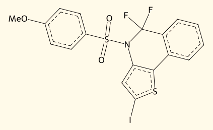 COc1ccc(S(=O)(=O)N2c3cc(I)sc3-c3ccccc3C2(F)F)cc1